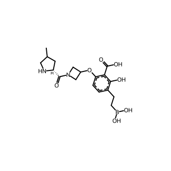 CC1CN[C@@H](C(=O)N2CC(Oc3ccc(CCB(O)O)c(O)c3C(=O)O)C2)C1